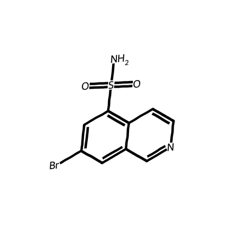 NS(=O)(=O)c1cc(Br)cc2cnccc12